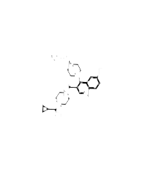 CSN1CCN(c2c(C(=O)N3CCN(C(=O)C4CC4)CC3)cnc3ccc(F)cc23)CC1